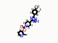 Cc1ncccc1OC(=O)N1CCC(c2nc(-c3ccc(C(F)(F)F)cc3)n[nH]2)CC1